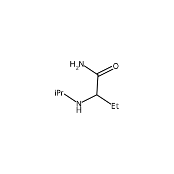 CCC(NC(C)C)C(N)=O